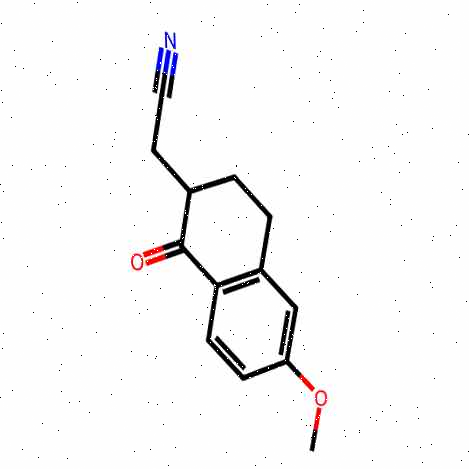 COc1ccc2c(c1)CCC(CC#N)C2=O